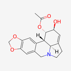 CC(=O)O[C@H]1[C@H]2c3cc4c(cc3CN3CCC(=C[C@@H]1O)[C@H]23)OCO4